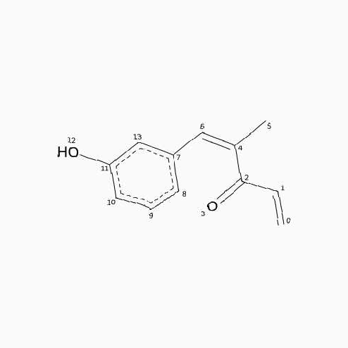 C=CC(=O)C(C)=Cc1cccc(O)c1